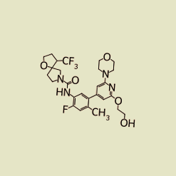 Cc1cc(F)c(NC(=O)N2CCC3(C2)OCCC3C(F)(F)F)cc1-c1cc(OCCO)nc(N2CCOCC2)c1